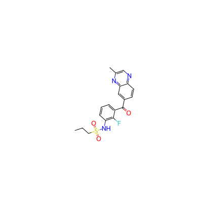 CCCS(=O)(=O)Nc1cccc(C(=O)c2ccc3ncc(C)nc3c2)c1F